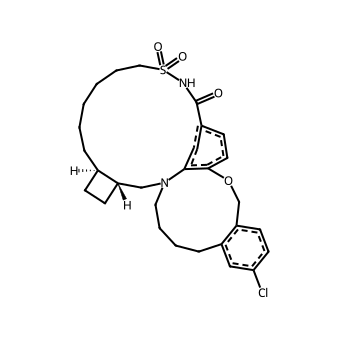 O=C1NS(=O)(=O)CCCCCC[C@@H]2CC[C@H]2CN2CCCCc3cc(Cl)ccc3COc3ccc1cc32